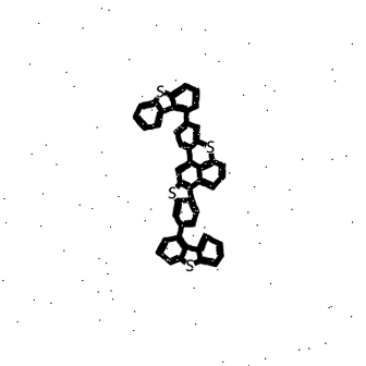 c1ccc2c(c1)sc1cccc(-c3ccc4c(c3)Sc3cccc5c3c-4cc3sc4cc(-c6cccc7sc8ccccc8c67)ccc4c35)c12